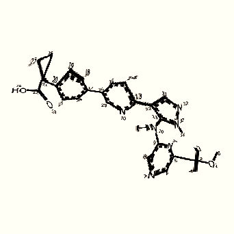 COC(C)(C)c1cncc(Nc2c(-c3ccc(-c4ccc(C5(C(=O)O)CC5)cc4)cn3)cnn2C)n1